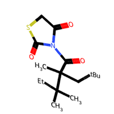 CCC(C)(C)C(C)(CC(C)(C)C)C(=O)N1C(=O)CSC1=O